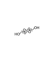 CC(C)(CCO)C1OCC2(CO1)COC(C(C)(C)CCO)OC2